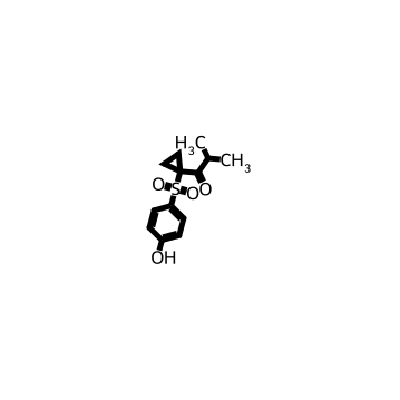 CC(C)C(=O)C1(S(=O)(=O)c2ccc(O)cc2)CC1